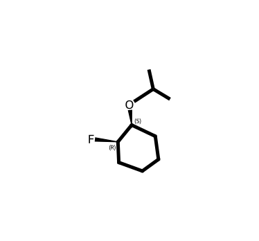 CC(C)O[C@H]1CCCC[C@H]1F